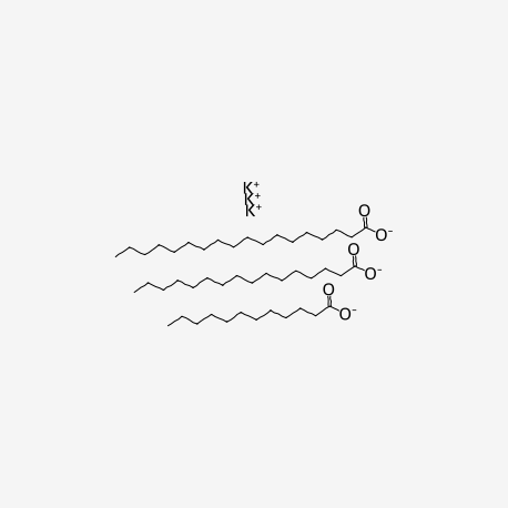 CCCCCCCCCCCC(=O)[O-].CCCCCCCCCCCCCCCC(=O)[O-].CCCCCCCCCCCCCCCCCC(=O)[O-].[K+].[K+].[K+]